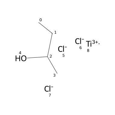 CCC(C)O.[Cl-].[Cl-].[Cl-].[Ti+3]